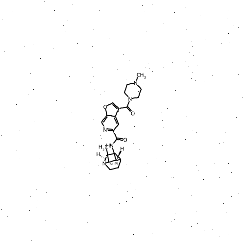 C[C@H]1[C@H](NC(=O)c2cc3c(C(=O)N4CCN(C)CC4)coc3cn2)C2CCN1CC2